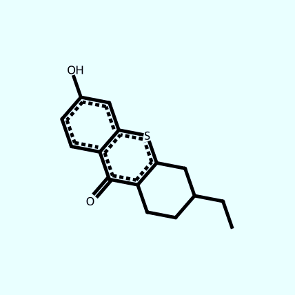 CCC1CCc2c(sc3cc(O)ccc3c2=O)C1